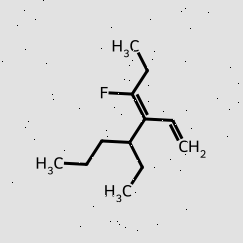 C=C/C(=C(/F)CC)C(CC)CCC